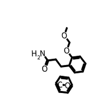 COCOc1ccccc1CCC(N)=O.c1cc2ccc1CO2